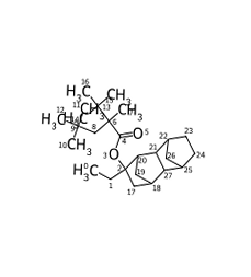 CCC1(OC(=O)C(C)(CC(C)(C)C)C(C)(C)C)CC2CC1C1C3CCC(C3)C21